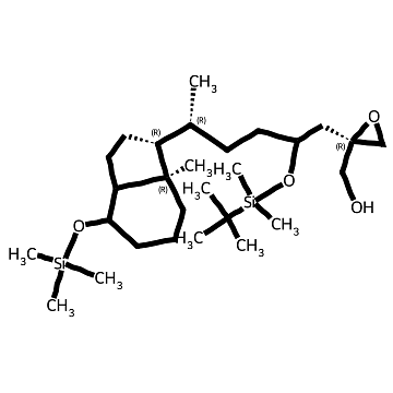 C[C@H](CCC(C[C@@]1(CO)CO1)O[Si](C)(C)C(C)(C)C)[C@H]1CCC2C(O[Si](C)(C)C)CCC[C@@]21C